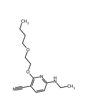 CCCCOCCOc1nc(NCC)ccc1C#N